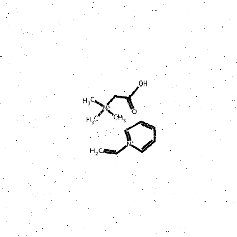 C=C[n+]1ccccc1.C[N+](C)(C)CC(=O)O